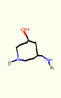 CCN1CC(O)CC(NC(C)C)C1